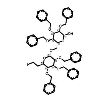 O[C@H]1O[C@H](CO[C@H]2O[C@H](CCI)[C@@H](OCc3ccccc3)[C@H](OCc3ccccc3)[C@H]2OCc2ccccc2)[C@@H](OCc2ccccc2)[C@H](OCc2ccccc2)[C@H]1OCc1ccccc1